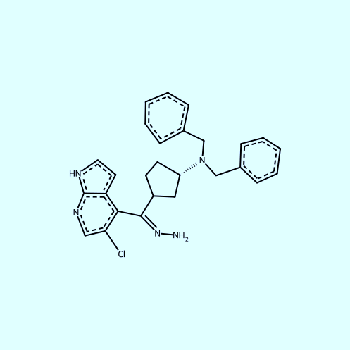 N/N=C(/c1c(Cl)cnc2[nH]ccc12)C1CC[C@H](N(Cc2ccccc2)Cc2ccccc2)C1